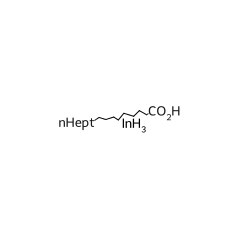 CCCCCCCCCCCCCCCC(=O)O.[InH3]